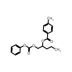 CCCC(COC(=O)Oc1ccccc1)OC(=O)c1ccc(C)cc1